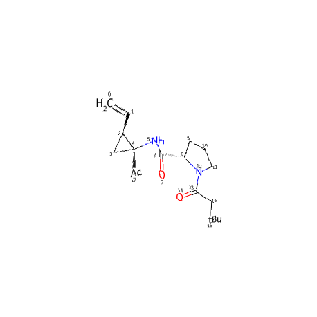 C=C[C@@H]1C[C@]1(NC(=O)[C@@H]1CCCN1C(=O)CC(C)(C)C)C(C)=O